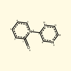 O=c1ccccn1-c1cnccn1